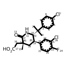 CC(C)(c1ccc(Cl)cc1)[C@H]1NC(=O)[C@@](C)(CC(=O)O)C[C@@H]1c1ccc(F)c(Cl)c1